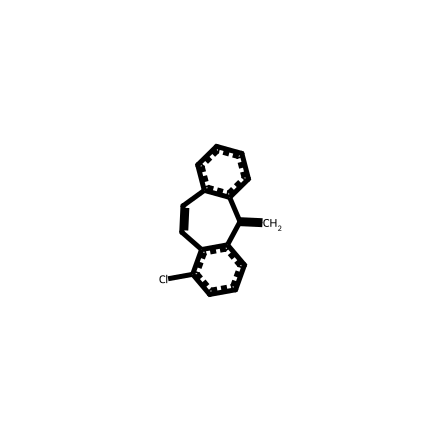 C=C1c2ccccc2C=Cc2c(Cl)cccc21